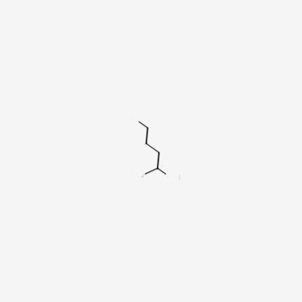 CCCCC(O)[SiH3]